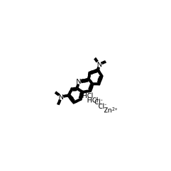 CN(C)c1ccc2cc3ccc(N(C)C)cc3nc2c1.Cl.Cl.[Cl-].[Cl-].[Zn+2]